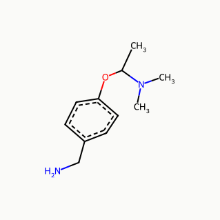 CC(Oc1ccc(CN)cc1)N(C)C